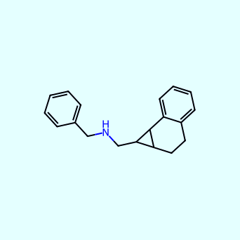 c1ccc(CNCC2C3CCc4ccccc4C32)cc1